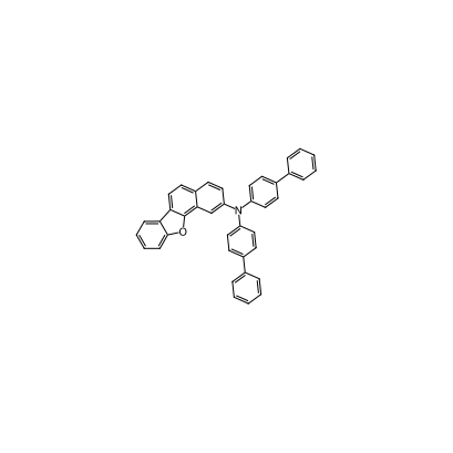 c1ccc(-c2ccc(N(c3ccc(-c4ccccc4)cc3)c3ccc4ccc5c6ccccc6oc5c4c3)cc2)cc1